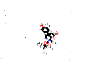 COc1ccc(C2(CC(=O)O)CCN(C(=O)OC(C)(C)C)C(C)C2)cc1